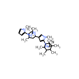 CC1C(C)C2(C)CCC1(C)[C@H](C)N2c1cc(C2CC3(C)CCN2[C@H](C)N3c2cccn2C)cn1C